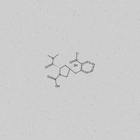 CN(C)C(=O)[C@@H]1C[C@@](S)(Cc2ccccc2[N+](=O)[O-])CN1C(=O)O